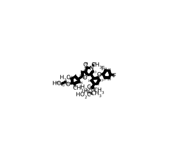 CC(=O)O.Cc1cc(-c2cc3c(=O)n(C)cc(-c4cc(C(C)(C)O)ccc4Oc4ccc(F)cc4F)c3o2)cc(C)c1OCCO